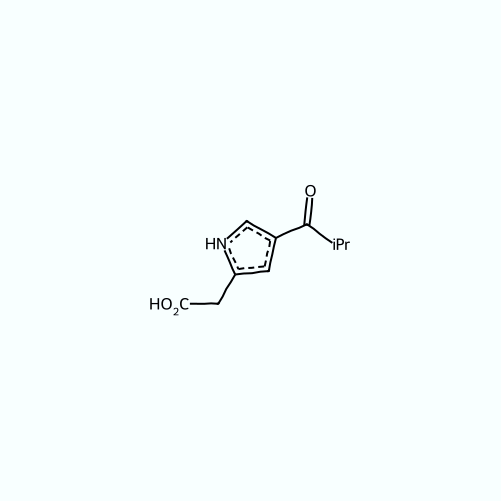 CC(C)C(=O)c1c[nH]c(CC(=O)O)c1